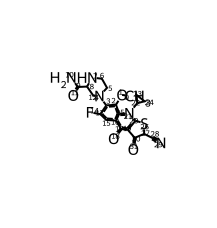 COc1c(N2CCNC(C(N)=O)C2)c(F)cc2c(=O)c3c(n(C4CC4)c12)SC(C#N)C3=O